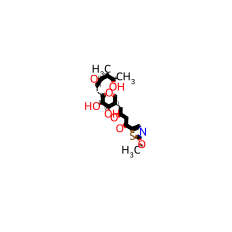 COc1ncc(C(=O)CC(=O)C[C@H]2CO[C@@H](C[C@@H]3O[C@H]3[C@@H](C)[C@H](C)O)[C@H](O)[C@@H]2O)s1